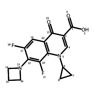 O=C(O)c1cn(C2CC2)c2c(F)c(N3CCC3)c(F)cc2c1=O